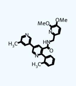 COc1ccc(CNC(=O)c2cc(-c3cncc(C)c3)cnc2-c2ccccc2C)nc1OC